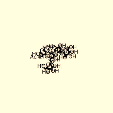 CC(=O)NC1C(O)OC(CO)[C@@H](O[C@@H]2OC(CO[C@H]3OC(CO)[C@@H](O)[C@H](O)C3O)[C@@H](O)[C@H](O[C@H]3O[C@@H](CO)[C@@H](O)C(O)C3O[C@H]3O[C@@H](CO)[C@@H](O)C(O)C3O)C2O)[C@@H]1O